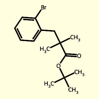 CC(C)(C)OC(=O)C(C)(C)Cc1ccccc1Br